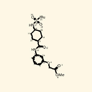 COC(=O)COc1cccc(NC(=O)C2CCC(NS(=O)(=O)C(C)(C)C)CC2)c1